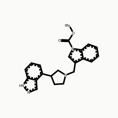 CC(C)(C)OC(=O)n1cc(CN2CCC(c3cccc4[nH]ncc34)C2)c2ccccc21